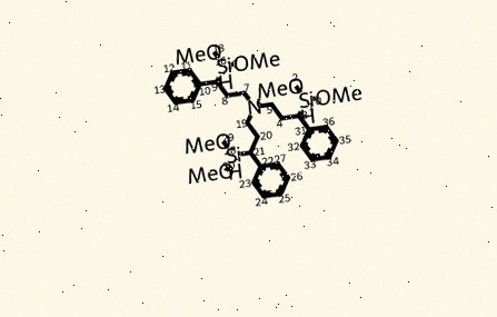 CO[SiH](OC)C(CCN(CCC(c1ccccc1)[SiH](OC)OC)CCC(c1ccccc1)[SiH](OC)OC)c1ccccc1